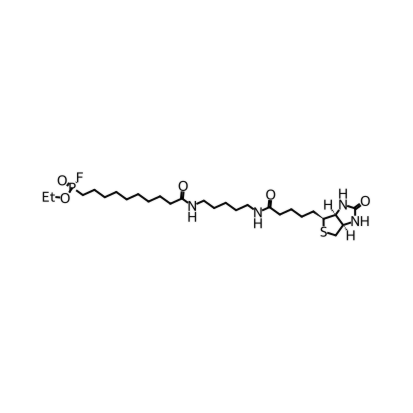 CCOP(=O)(F)CCCCCCCCCC(=O)NCCCCCNC(=O)CCCC[C@@H]1SC[C@@H]2NC(=O)N[C@@H]21